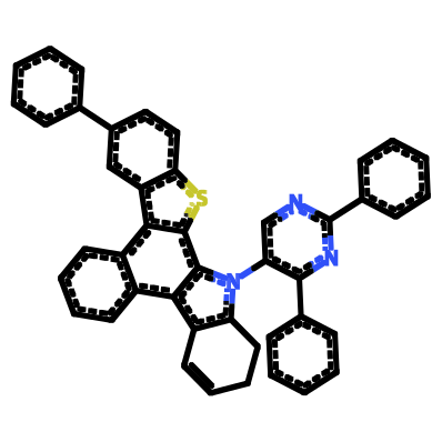 C1=Cc2c(n(-c3cnc(-c4ccccc4)nc3-c3ccccc3)c3c4sc5ccc(-c6ccccc6)cc5c4c4ccccc4c23)CC1